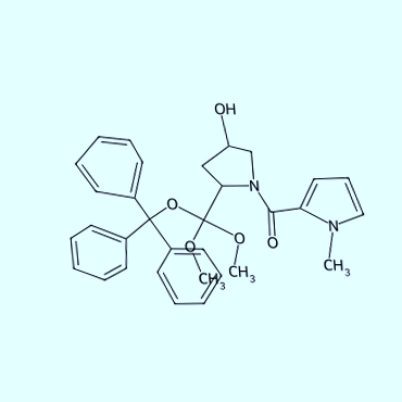 COC(OC)(OC(c1ccccc1)(c1ccccc1)c1ccccc1)C1CC(O)CN1C(=O)c1cccn1C